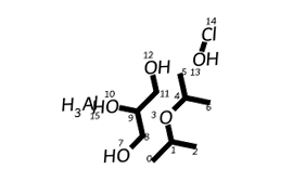 CC(C)OC(C)C.OCC(O)CO.OCl.[AlH3]